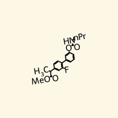 CCCNC(=O)Oc1cccc(-c2ccc(C(C)C(=O)OC)cc2F)c1